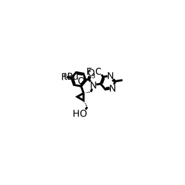 Cc1ncc(N(C[C@@]2(c3cccc(F)c3)C[C@H]2CO)C(=O)OC(C)(C)C)c(C(F)(F)F)n1